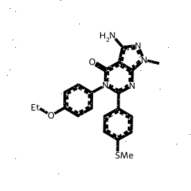 CCOc1ccc(-n2c(-c3ccc(SC)cc3)nc3c(c(N)nn3C)c2=O)cc1